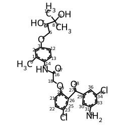 Cc1cc(OC[C@H](O)C(C)(C)O)ccc1NC(=O)COc1ccc(Cl)cc1C(=O)c1cc(N)cc(Cl)c1